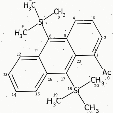 CC(=O)c1cccc2c([Si](C)(C)C)c3ccccc3c([Si](C)(C)C)c12